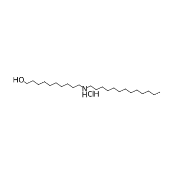 CCCCCCCCCCCCCNCCCCCCCCCCO.Cl